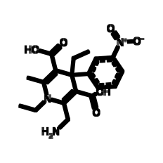 CCN1C(C)=C(C(=O)O)C(CC)(c2cccc([N+](=O)[O-])c2)C(C(=O)O)=C1CN